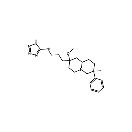 COC1(CCCNc2nnn[nH]2)CCN2CC(C)(c3ccccc3)CCC2C1